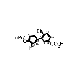 CCCOc1ccc(-c2cc(C(=O)O)ccc2CC)cc1F